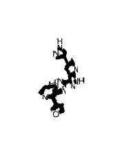 c1cc2[nH]c(-c3n[nH]c4ncc(-c5cn[nH]c5)cc34)nc2c(-c2ccoc2)n1